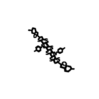 Cc1ccc(-n2c3c4sc(-c5cc6ccc(C)cc6o5)cc4sc3c3sc4c(sc5c6sc7cc(-c8cc9ccc(C)cc9o8)sc7c6n(-c6ccc(C)cc6)c54)c32)cc1